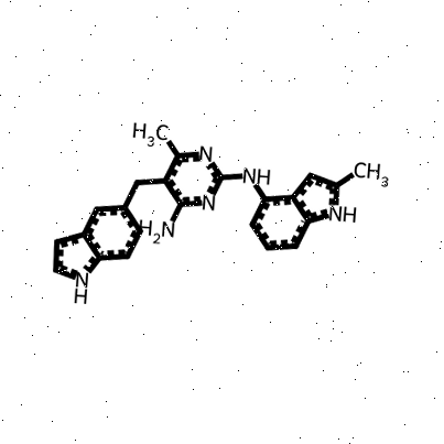 Cc1cc2c(Nc3nc(C)c(Cc4ccc5[nH]ccc5c4)c(N)n3)cccc2[nH]1